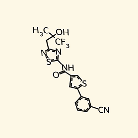 CC(O)(Cc1nsc(NC(=O)c2csc(-c3cccc(C#N)c3)c2)n1)C(F)(F)F